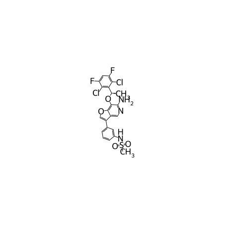 C[C@@H](Oc1c(N)ncc2c(-c3cccc(NS(C)(=O)=O)c3)coc12)c1c(Cl)c(F)cc(F)c1Cl